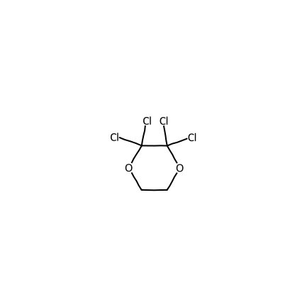 ClC1(Cl)OCCOC1(Cl)Cl